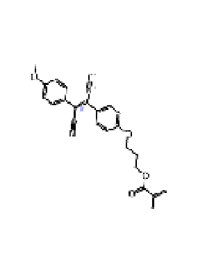 [C-]#[N+]/C(=C(/C#N)c1ccc(OC)cc1)c1ccc(OCCCOC(=O)C(=C)C)cc1